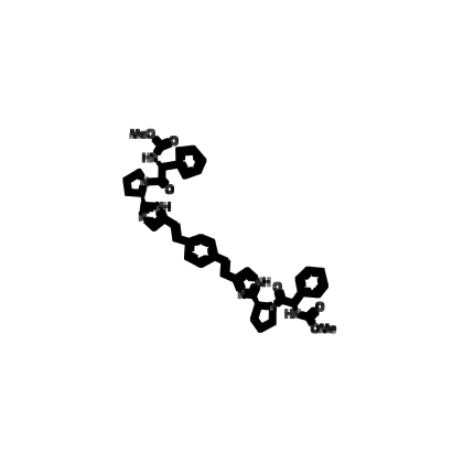 COC(=O)N[C@@H](C(=O)N1CCC[C@H]1c1nc(/C=C/c2ccc(/C=C/c3cnc([C@@H]4CCCN4C(=O)[C@H](NC(=O)OC)c4ccccc4)[nH]3)cc2)c[nH]1)c1ccccc1